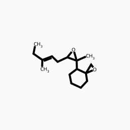 CC/C(C)=C/CC1OC1(C)C1CCCCC12CO2